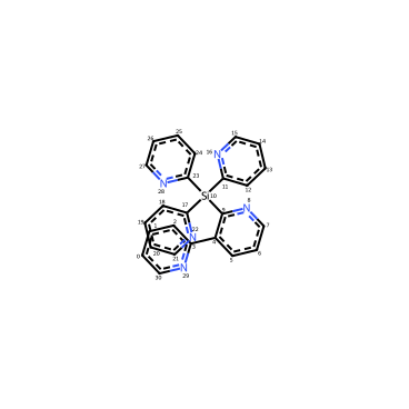 c1ccc(-c2cccnc2[Si](c2ccccn2)(c2ccccn2)c2ccccn2)nc1